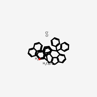 CC1=C(c2cccc3ccccc23)c2c3cccc2C(c2ccccc2)(c2ccccc2)c2cccc4c2C(c2cccc5ccccc25)=C(C)[CH]4[Zr+2][CH]13.[Cl-].[Cl-]